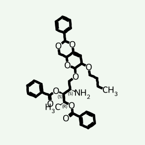 CCCCOC1C=C2OC(c3ccccc3)OCC2OC1OC[C@H](N)[C@H](OC(=O)c1ccccc1)[C@@H](C)OC(=O)c1ccccc1